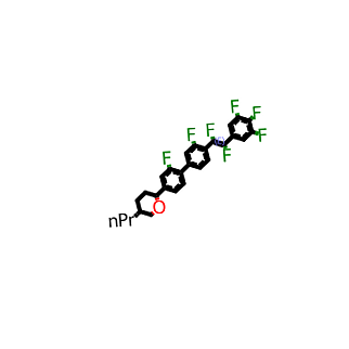 CCCC1CCC(c2ccc(-c3ccc(/C(F)=C(\F)c4cc(F)c(F)c(F)c4)c(F)c3)c(F)c2)OC1